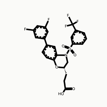 O=C(O)CC[C@H]1CN(S(=O)(=O)c2cccc(C(F)(F)F)c2)c2cc(-c3cc(F)cc(F)c3)ccc2O1